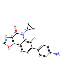 Cc1c(-c2ccc(N)cc2)ccc2c3ocnc3c(=O)n(C3CC3)c12